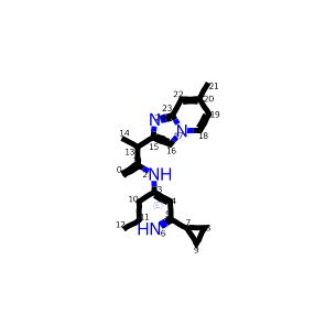 C=C(N/C(=C/C(=N)C1CC1)CCC)C(C)c1cn2ccc(C)cc2n1